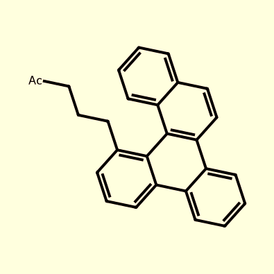 CC(=O)CCCc1cccc2c3ccccc3c3ccc4ccccc4c3c12